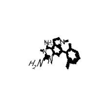 Cc1cccc(C)c1-c1cc2c(c3ccn(C)c13)C(N)N(C)C(N)=N2